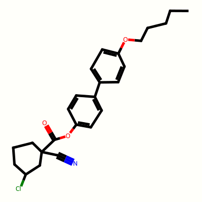 CCCCCOc1ccc(-c2ccc(OC(=O)C3(C#N)CCCC(Cl)C3)cc2)cc1